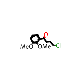 COc1cccc(C(=O)CCCCl)c1OC